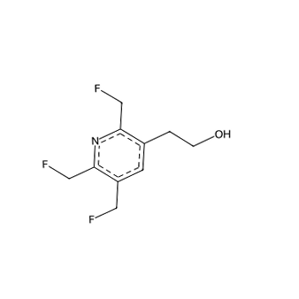 OCCc1cc(CF)c(CF)nc1CF